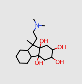 CN(C)CCC1(C)C2CCCCC2C2(O)CC(O)C(O)CC12O